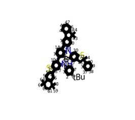 CC(C)(C)c1ccc(Nc2cc3c(cc2-c2ccc4c5cc6c(cc5n5c4c2Bc2cc4c(cc2-5)SC(C)(c2ccccc2)C4)C(C)(C)c2ccccc2-6)sc2cc4c(cc23)C(C)(C)CCC4(C)C)cc1